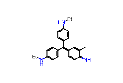 CCNc1ccc(C(=C2C=CC(=N)C(C)=C2)c2ccc(NCC)cc2)cc1